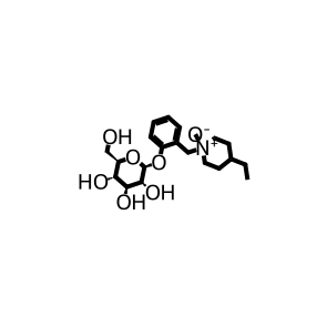 CCC1CC[N+]([O-])(Cc2ccccc2O[C@@H]2O[C@H](CO)[C@@H](O)[C@H](O)[C@H]2O)CC1